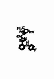 CC1CN(C#N)C2[C@@H]1N2C(=O)c1ncc(-c2ccccc2Nc2ccc(F)cc2)s1